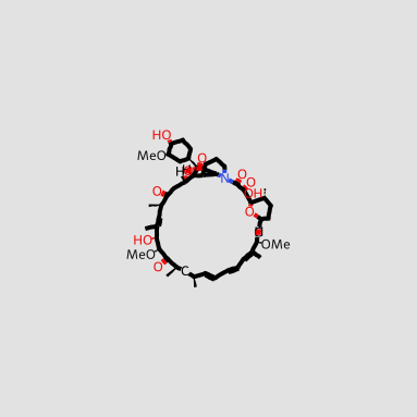 CO[C@H]1C[C@@H]2CC[C@@H](C)[C@@](O)(O2)C(=O)C(=O)N2CCCC3C2C(=O)O[C@@H](CC(=O)[C@H](C)/C=C(\C)[C@@H](O)[C@@H](OC)C(=O)[C@H](C)C[C@H](C)/C=C/C=C/C=C/1C)[C@H]3C[C@@H]1CCC(O)[C@H](OC)C1